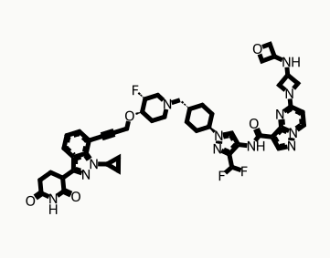 O=C1CCC(c2nn(C3CC3)c3c(C#CCO[C@H]4CCN(C[C@H]5CC[C@H](n6cc(NC(=O)c7cnn8ccc(N9CC(NC%10COC%10)C9)nc78)c(C(F)F)n6)CC5)C[C@H]4F)cccc23)C(=O)N1